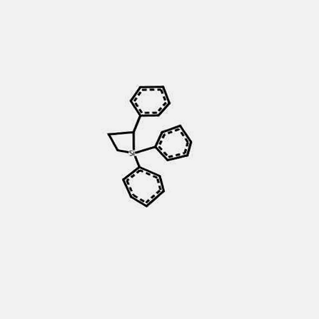 c1ccc(C2CC[Si]2(c2ccccc2)c2ccccc2)cc1